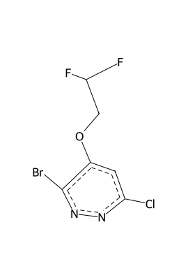 FC(F)COc1cc(Cl)nnc1Br